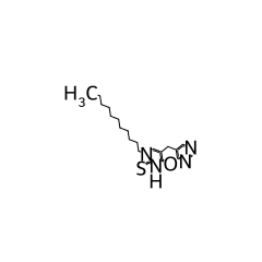 CCCCCCCCCCCn1cc(Cc2cncnc2)c(=O)[nH]c1=S